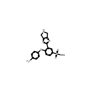 CNS(=O)(=O)c1ccc(Oc2ccc(C(F)(F)F)cc2)c(-c2nc3c(s2)CNC3)c1